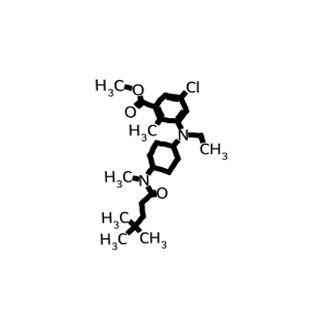 CCN(c1cc(Cl)cc(C(=O)OC)c1C)C1CCC(N(C)C(=O)CCC(C)(C)C)CC1